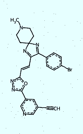 C#Cc1cncc(-c2nnc(C=CC3=NC4(CCN(C)CC4)N=C3c3ccc(Br)cc3)o2)c1